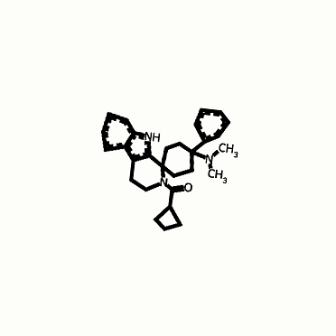 CN(C)C1(c2ccccc2)CCC2(CC1)c1[nH]c3ccccc3c1CCN2C(=O)C1CCC1